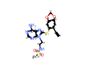 C#Cc1cc2c(cc1Sc1nc3c(N)ncnc3n1CCNS(=O)(=O)C(C)C)OCO2